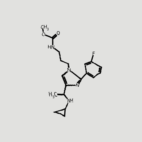 COC(=O)NCCCn1cc(C(C)NC2CC2)nc1-c1cccc(F)c1